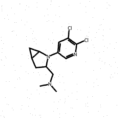 CN(C)CC1CC2CC2N1c1cnc(Cl)c(Cl)c1